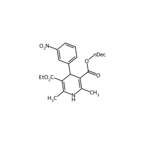 CCCCCCCCCCOC(=O)C1=C(C)NC(C)=C(C(=O)OCC)C1c1cccc([N+](=O)[O-])c1